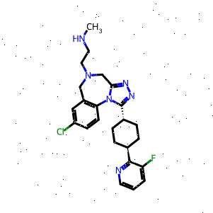 CNCCN1Cc2cc(Cl)ccc2-n2c(nnc2[C@H]2CC[C@H](c3ncccc3F)CC2)C1